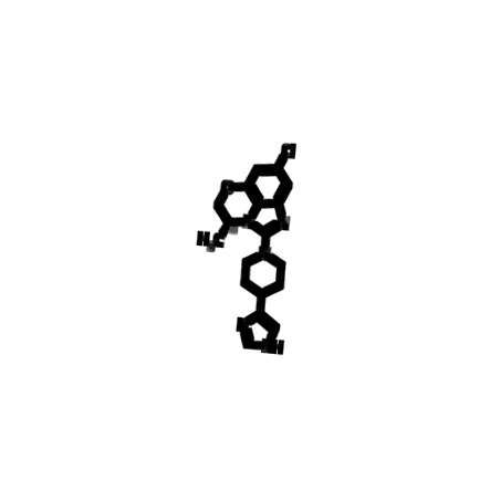 C[C@H]1COc2cc(Cl)cc3nc(N4CCC(c5c[nH]cn5)CC4)n1c23